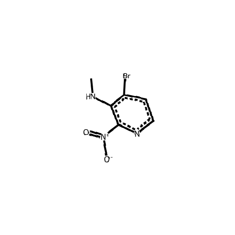 CNc1c(Br)ccnc1[N+](=O)[O-]